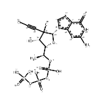 C[C@H](OP(=O)(O)OP(=O)(O)OP(=O)(O)O)[C@H]1O[C@@H](n2cnc3c(=O)[nH]c(N)nc32)C(Cl)(C#CCl)[C@H]1O